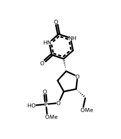 COC[C@H]1O[C@@H](c2c[nH]c(=O)[nH]c2=O)CC1OP(=O)(O)OC